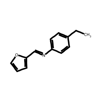 CCc1ccc(/N=C/c2ccco2)cc1